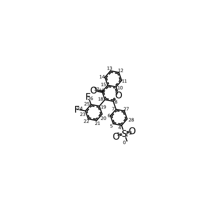 CS(=O)(=O)c1ccc(-c2oc3ccccc3c(=O)c2-c2cccc(F)c2F)cc1